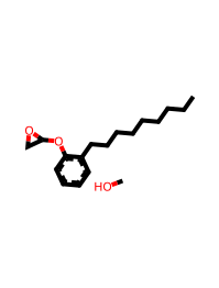 CCCCCCCCCc1ccccc1OC1CO1.CO